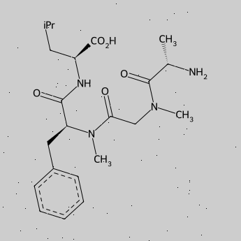 CC(C)C[C@H](NC(=O)[C@H](Cc1ccccc1)N(C)C(=O)CN(C)C(=O)[C@H](C)N)C(=O)O